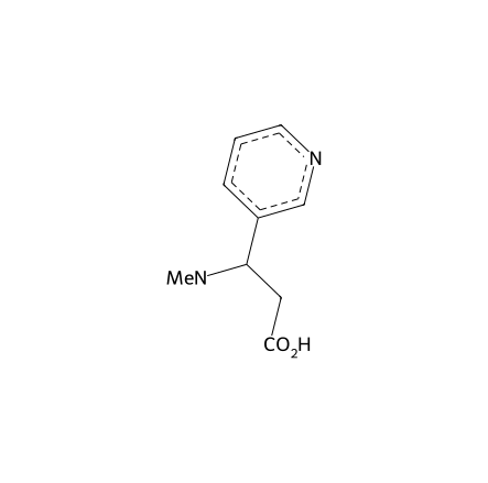 CNC(CC(=O)O)c1cccnc1